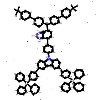 CC(C)(C)c1ccc(-c2ccc(C(c3ccc(-c4ccc(C(C)(C)C)cc4)cc3)c3ccc(-c4ccc(-n5c6ccc(-c7ccc([Si](c8ccccc8)(c8ccccc8)c8ccccc8)cc7)cc6c6cc(-c7ccc([Si](c8ccccc8)(c8ccccc8)c8ccccc8)cc7)ccc65)cc4)c4nsnc34)cc2)cc1